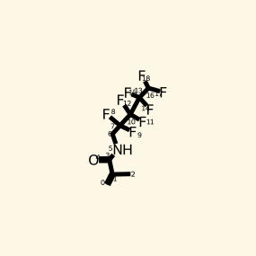 C=C(C)C(=O)NCC(F)(F)C(F)(F)C(F)(F)C(F)F